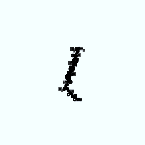 COC(=O)CCC(=O)NCCN(C)CCNC(=O)c1ccc2nc(-c3ccc(-c4nc5ccc(C(=O)NCCN(C)C)cc5[nH]4)cc3)[nH]c2c1